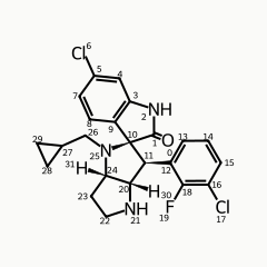 O=C1Nc2cc(Cl)ccc2[C@@]12[C@@H](c1cccc(Cl)c1F)[C@@H]1NCC[C@@H]1N2CC1CC1